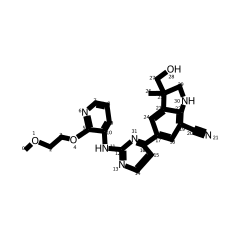 COCCOc1ncccc1Nc1nccc(-c2cc(C#N)c3c(c2)C(C)(CO)CN3)n1